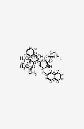 C[SiH](C)OC(C(/C=C/[C@@H](Cc1ccc2ccccc2c1)NC(=O)OC(C)(C)C)Cc1ccccc1)C(C)(C)C